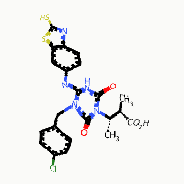 C[C@@H](C(=O)O)[C@H](C)n1c(=O)[nH]/c(=N\c2ccc3nc(S)sc3c2)n(Cc2ccc(Cl)cc2)c1=O